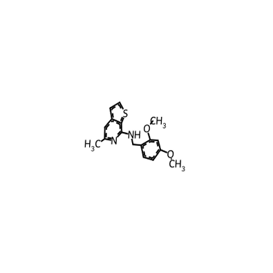 COc1ccc(CNc2nc(C)cc3ccsc23)c(OC)c1